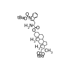 C[C@H](CC(=O)OC(C)(C)C)C1CCC2C3CCC4C[C@H](OC(=O)[C@@H](N)Cc5cn(C(=O)OC(C)(C)C)c6ccccc56)CC[C@]4(C)C3CC[C@@]21C